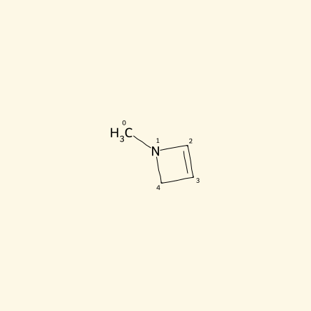 CN1C=CC1